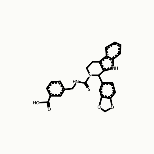 O=C(O)c1cccc(CNC(=S)N2CCc3c([nH]c4ccccc34)C2c2ccc3c(c2)OCO3)c1